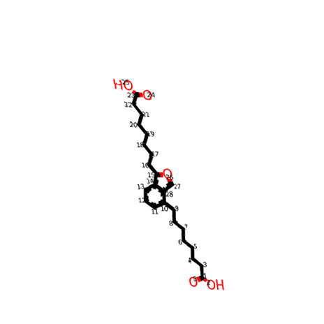 O=C(O)CCCCCCCc1cccc2c(CCCCCCCC(=O)O)occ12